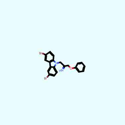 N=C(COc1ccccc1)Cn1c2ccc(Br)cc2c2cc(Br)ccc21